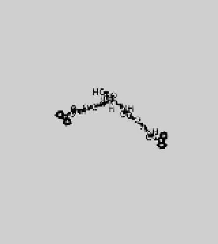 C#CCNC(=O)[C@H](CCCCNC(=O)COCCOCCOCCNC(=O)OCC1c2ccccc2-c2ccccc21)NC(=O)COCCOCCOCCNC(=O)OCC1c2ccccc2-c2ccccc21